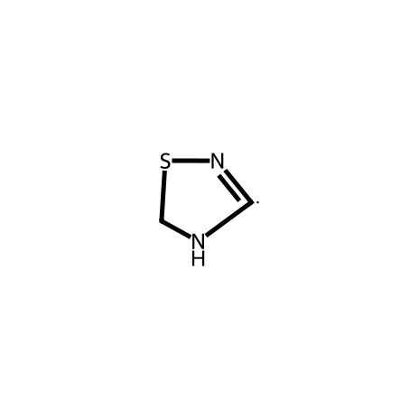 [C]1=NSCN1